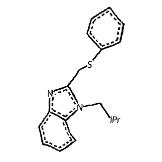 CC(C)Cn1c(CSc2ccccc2)nc2ccccc21